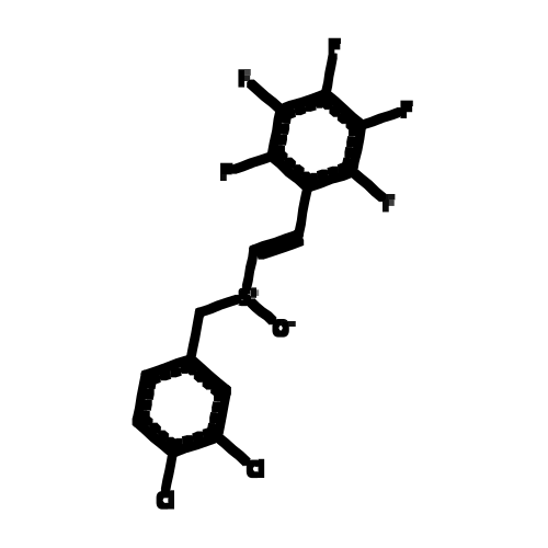 [O-][S+](C=Cc1c(F)c(F)c(F)c(F)c1F)Cc1ccc(Cl)c(Cl)c1